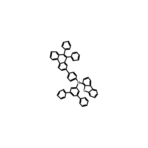 c1ccc(-c2cc(-c3ccccc3)cc(N(c3ccc(-c4ccc5c(c4)c(-c4ccccc4)c(-c4ccccc4)c4ccccc45)cc3)c3cccc4c3sc3ccccc34)c2)cc1